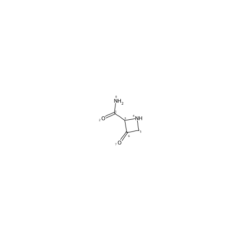 NC(=O)C1NCC1=O